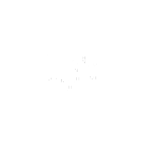 CC[C@H](c1cc(Cl)ccc1Cn1c(=S)[nH]c(=O)c2[nH]ccc21)N(C(=O)O)C(=O)O